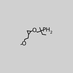 CCC(C)(P)COC1CC1CCOC